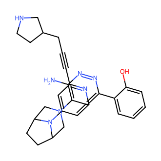 Nc1nnc(-c2ccccc2O)cc1N1CC2CCC(C1)N2c1ccnc(C#CCC2CCNC2)c1